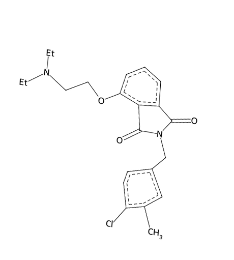 CCN(CC)CCOc1cccc2c1C(=O)N(Cc1ccc(Cl)c(C)c1)C2=O